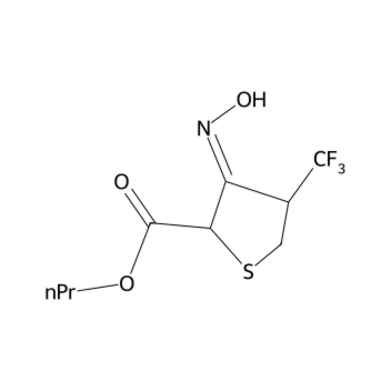 CCCOC(=O)C1SCC(C(F)(F)F)C1=NO